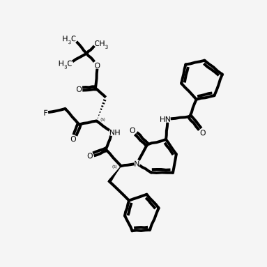 CC(C)(C)OC(=O)C[C@H](NC(=O)[C@H](Cc1ccccc1)n1cccc(NC(=O)c2ccccc2)c1=O)C(=O)CF